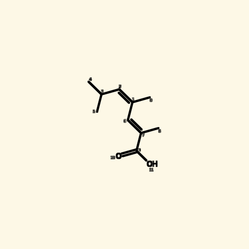 CC(=CC(C)C)C=C(C)C(=O)O